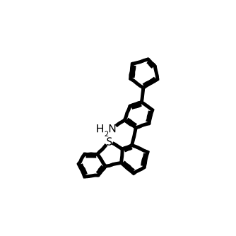 Nc1cc(-c2ccccc2)ccc1-c1cccc2c1sc1ccccc12